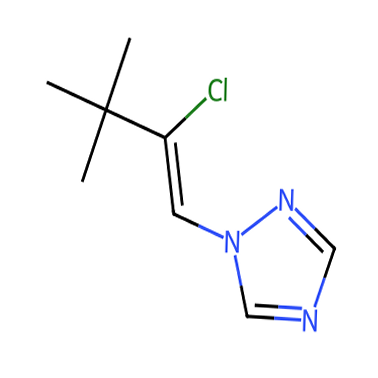 CC(C)(C)C(Cl)=Cn1cncn1